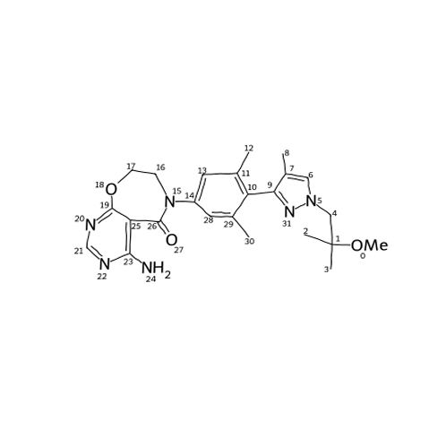 COC(C)(C)Cn1cc(C)c(-c2c(C)cc(N3CCOc4ncnc(N)c4C3=O)cc2C)n1